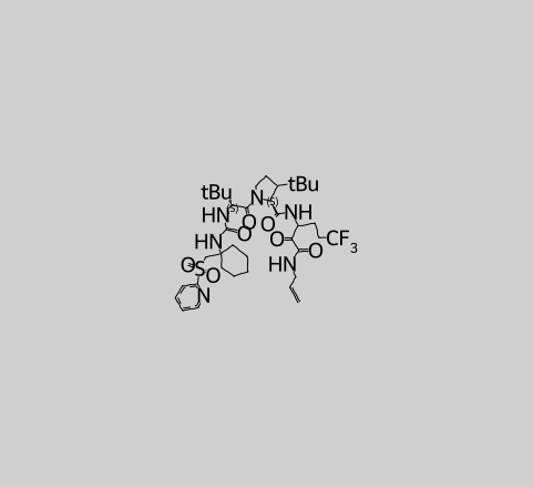 C=CCNC(=O)C(=O)C(CCC(F)(F)F)NC(=O)[C@@H]1C(C(C)(C)C)CCN1C(=O)[C@@H](NC(=O)NC1(CS(=O)(=O)c2ccccn2)CCCCC1)C(C)(C)C